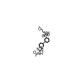 COCCNS(=O)(=O)c1cccc(-c2ccc3nc(NC(C)=O)nn3c2)c1